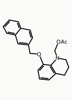 CC(=O)OCN1CCCc2cccc(OCc3ccc4ccccc4c3)c21